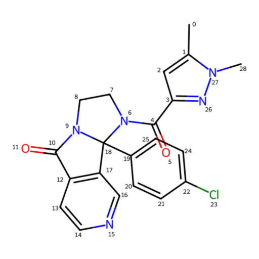 Cc1cc(C(=O)N2CCN3C(=O)c4ccncc4C23c2ccc(Cl)cc2)nn1C